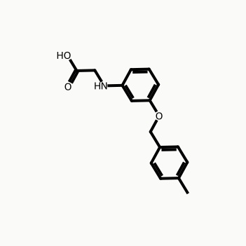 Cc1ccc(COc2cccc(NCC(=O)O)c2)cc1